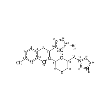 Clc1ccc(CC(OC2CCCC(Cn3ccnc3)O2)c2ccc(Br)o2)c(Cl)c1